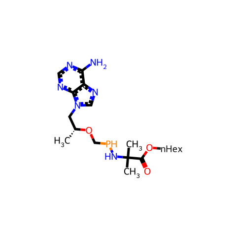 CCCCCCOC(=O)C(C)(C)NPCO[C@H](C)Cn1cnc2c(N)ncnc21